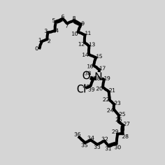 CCCCC/C=C\C/C=C\CCCCCCCCN(CCCCCCCC/C=C\C/C=C\CCCCC)C(=O)CCl